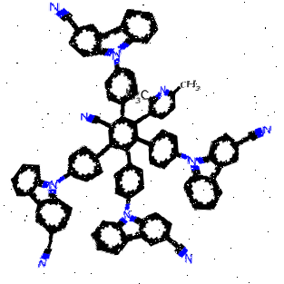 Cc1ccc(-c2c(-c3ccc(-n4c5ccccc5c5cc(C#N)ccc54)cc3)c(C#N)c(-c3ccc(-n4c5ccccc5c5cc(C#N)ccc54)cc3)c(-c3ccc(-n4c5ccccc5c5cc(C#N)ccc54)cc3)c2-c2ccc(-n3c4ccccc4c4cc(C#N)ccc43)cc2)c(C)n1